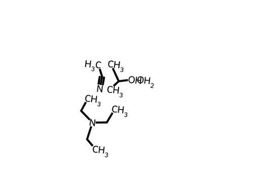 CC#N.CC(C)O.CCN(CC)CC.O